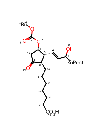 CCCCC[C@H](O)/C=C/[C@H]1[C@H](OC(=O)OC(C)(C)C)CC(=O)[C@@H]1CCCCCCC(=O)O